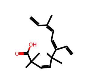 C=C/C(C)=C\C=C(/C=C)C(C)(C)/C=C\C(C)(C)C(=O)O